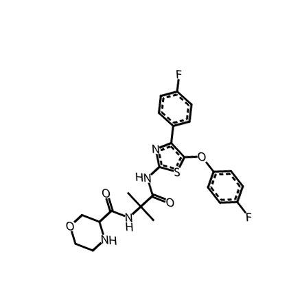 CC(C)(NC(=O)C1COCCN1)C(=O)Nc1nc(-c2ccc(F)cc2)c(Oc2ccc(F)cc2)s1